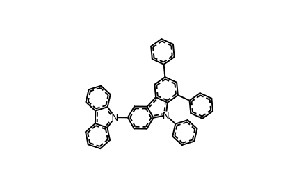 c1ccc(-c2cc(-c3ccccc3)c3c(c2)c2cc(-n4c5ccccc5c5ccccc54)ccc2n3-c2ccccc2)cc1